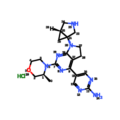 C[C@H]1COCCN1c1nc(-c2cnc(N)nc2)c2c(n1)N([C@]13CNC[C@H]1C3)CC2.Cl